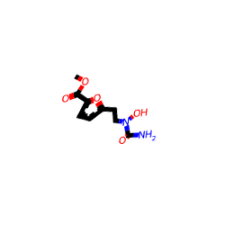 COC(=O)c1ccc(CCN(O)C(N)=O)o1